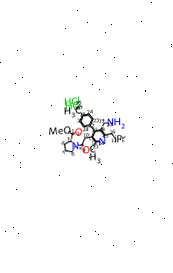 COC(=O)[C@@H]1CCCN1C(=O)Cc1c(C)nc(CC(C)C)c(CN)c1-c1ccc(C)cc1.Cl.Cl